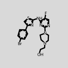 OCCN1CCN(c2ncc(F)c(Nc3nc(-c4ccc(Br)cc4)cs3)n2)CC1